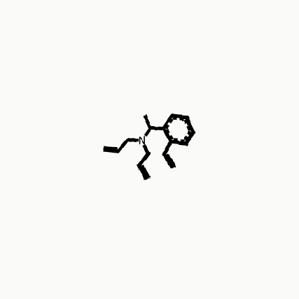 C=CCN(CC=C)C(C)c1ccccc1C=C